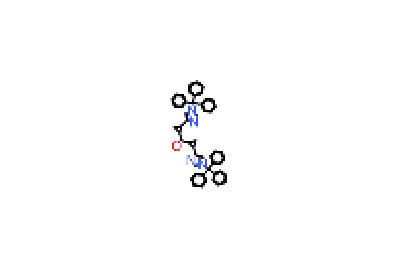 O=C(C1CC1c1cn(C(c2ccccc2)(c2ccccc2)c2ccccc2)cn1)C1CC1c1cn(C(c2ccccc2)(c2ccccc2)c2ccccc2)cn1